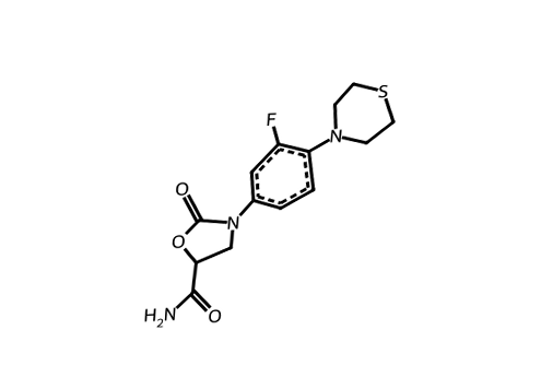 NC(=O)C1CN(c2ccc(N3CCSCC3)c(F)c2)C(=O)O1